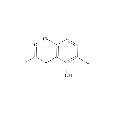 CC(=O)Cc1c(Cl)ccc(F)c1O